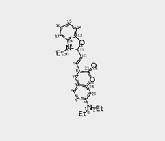 CCN(CC)c1ccc2cc(C=CC3Oc4ccccc4N3CC)c(=O)oc2c1